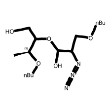 CCCCOCC(N=[N+]=[N-])C(O)OC(CO)[C@H](C)OCCCC